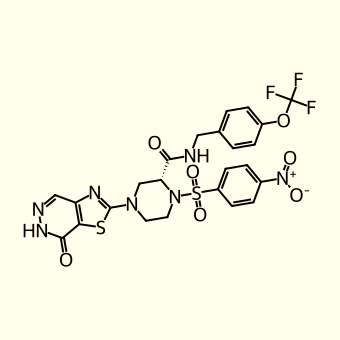 O=C(NCc1ccc(OC(F)(F)F)cc1)[C@H]1CN(c2nc3cn[nH]c(=O)c3s2)CCN1S(=O)(=O)c1ccc([N+](=O)[O-])cc1